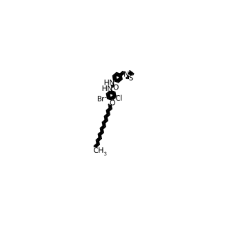 CCCCCCCCCCCCCCCCOc1ccc(NC(=O)Nc2ccc(C[n+]3ccsc3)cc2)cc1Cl.[Br-]